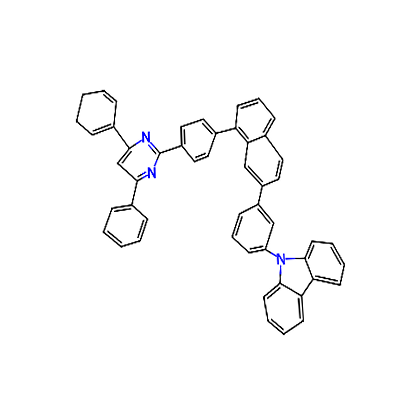 C1=CC(c2cc(-c3ccccc3)nc(-c3ccc(-c4cccc5ccc(-c6cccc(-n7c8ccccc8c8ccccc87)c6)cc45)cc3)n2)=CCC1